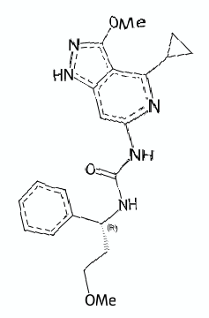 COCC[C@@H](NC(=O)Nc1cc2[nH]nc(OC)c2c(C2CC2)n1)c1ccccc1